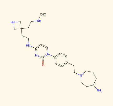 NC1CCCN(CCc2ccc(-n3ccc(NCCC4(CCNC=O)CNC4)nc3=O)cc2)CC1